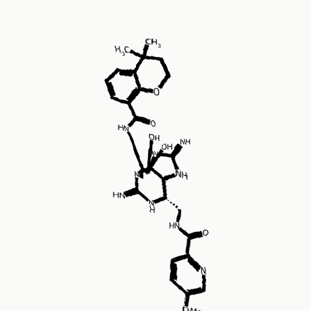 COc1ccc(C(=O)NC[C@@H]2NC(=N)N3CC(NC(=O)c4cccc5c4OCCC5(C)C)C(O)(O)C34NC(=N)NC24)nc1